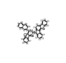 c1ccc2cc(-c3nc(-n4c5ccccc5c5c6sc7ccccc7c6ccc54)nc4c3oc3ccccc34)ccc2c1